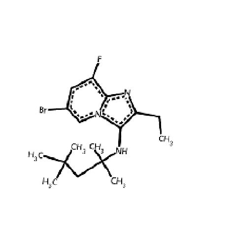 CCc1nc2c(F)cc(Br)cn2c1NC(C)(C)CC(C)(C)C